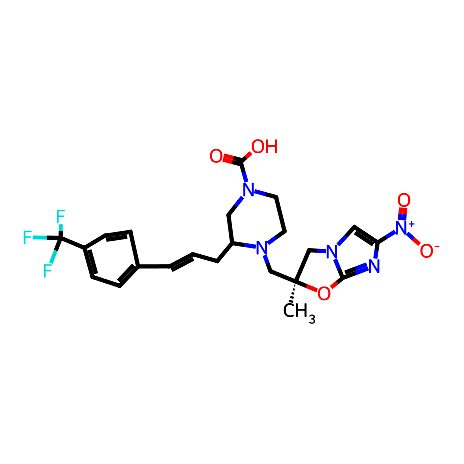 C[C@]1(CN2CCN(C(=O)O)CC2CC=Cc2ccc(C(F)(F)F)cc2)Cn2cc([N+](=O)[O-])nc2O1